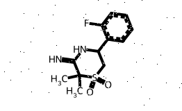 CC1(C)C(=N)NC(c2ccccc2F)CS1(=O)=O